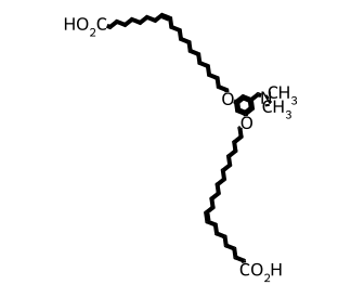 CN(C)Cc1cc(OCCCCCCCCCCCC/C=C\CCCCCCCC(=O)O)cc(OCCCCCCCCCCCC/C=C\CCCCCCCC(=O)O)c1